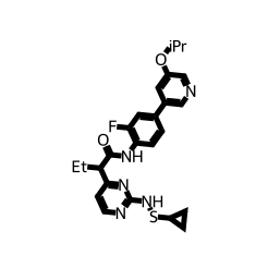 CCC(C(=O)Nc1ccc(-c2cncc(OC(C)C)c2)cc1F)c1ccnc(NSC2CC2)n1